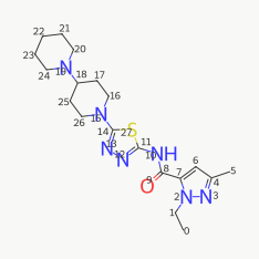 CCn1nc(C)cc1C(=O)Nc1nnc(N2CCC(N3CCCCC3)CC2)s1